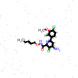 CCC=CCONC(=O)c1nc(-c2ccc(Cl)c(OC)c2F)cc(N)c1Cl